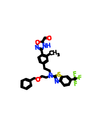 Cc1cc(CCN(CCOCc2ccccc2)c2nc3ccc(C(F)(F)F)cc3s2)ccc1C1=NOC(C=O)N1